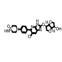 N=S1(=O)CCN(c2ccc(-c3nc4[nH]c(O[C@@H]5CO[C@H]6[C@@H]5OC[C@H]6O)nc4cc3Cl)cc2)CC1